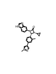 Cc1cc(-c2cnn(C)c2)ccc1[C@@H]1[C@H](C2CC2)C(=O)N1c1ccc2[nH]cnc2c1